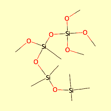 CO[Si](C)(O[Si](C)(C)O[Si](C)(C)C)O[Si](OC)(OC)OC